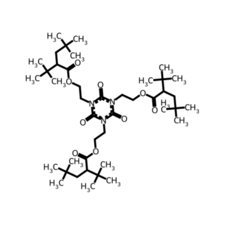 CC(C)(C)CC(C(=O)OCCn1c(=O)n(CCOC(=O)C(CC(C)(C)C)C(C)(C)C)c(=O)n(CCOC(=O)C(CC(C)(C)C)C(C)(C)C)c1=O)C(C)(C)C